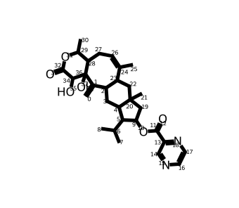 C=C1C2CC3C(C(C)C)C(OC(=O)c4cnccn4)CC3(C)CC2C(C)=CCC2C(C)OC(=O)C(O)C12O